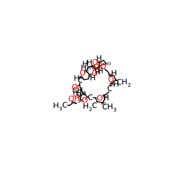 C=C1C2CC3O[C@H](C[C@H](O)CC)[C@H](OC)[C@H]3CC(=O)C[C@H]3CC[C@@H]4O[C@@H]5[C@H]6O[C@@H]7C[C@](CC[C@H]8CC(=C)[C@H](CC[C@@H](C[C@H]1C)O2)O8)(O[C@H]6[C@H]4O3)O[C@H]57